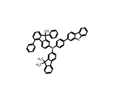 CC1(C)c2ccccc2-c2ccc(N(c3ccc(-c4ccc5c(c4)sc4ccccc45)cc3)c3ccc4c(c3)C(C)(c3ccccc3)c3cccc(-c5ccccc5)c3-4)cc21